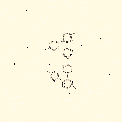 Cc1ccc(-c2ccc(C)cc2-c2ccc(-c3ccc(-c4cc(C)ccc4-c4ccc(C)cc4)cn3)nc2)cc1